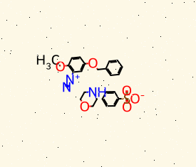 C1COCCN1.COc1ccc(OCc2ccccc2)cc1[N+]#N.O=S(=O)([O-])c1ccccc1